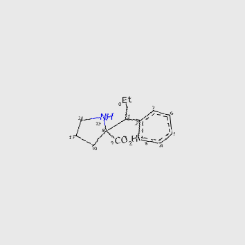 CCC(c1ccccc1)C1(C(=O)O)CCCN1